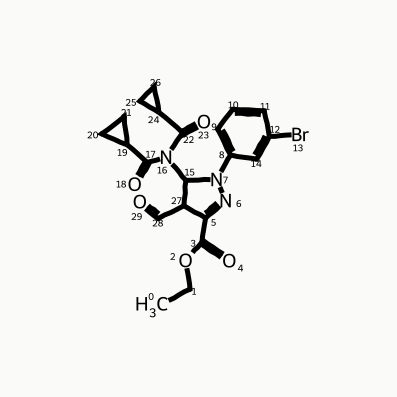 CCOC(=O)C1=NN(c2cccc(Br)c2)C(N(C(=O)C2CC2)C(=O)C2CC2)C1C=O